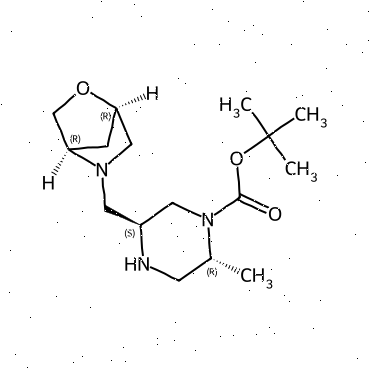 C[C@@H]1CN[C@@H](CN2C[C@H]3C[C@@H]2CO3)CN1C(=O)OC(C)(C)C